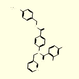 COc1ccc(CNC(=O)c2ccc(N(Cc3cccnc3)C(=O)c3ccc(O)cc3O)cc2)cc1